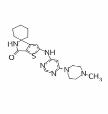 CN1CCN(c2cc(Nc3cc4c(s3)C(=O)NC43CCCCC3)ncn2)CC1